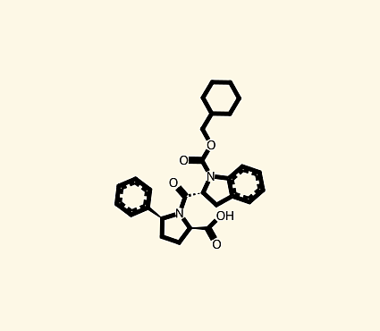 O=C(O)[C@H]1CC[C@@H](c2ccccc2)N1C(=O)[C@H]1Cc2ccccc2N1C(=O)OCC1CCCCC1